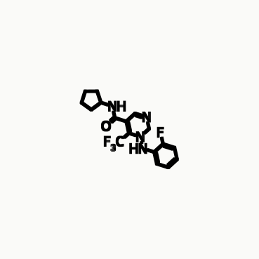 O=C(NC1CCCC1)C1=C(C(F)(F)F)N(Nc2ccccc2F)CN=C1